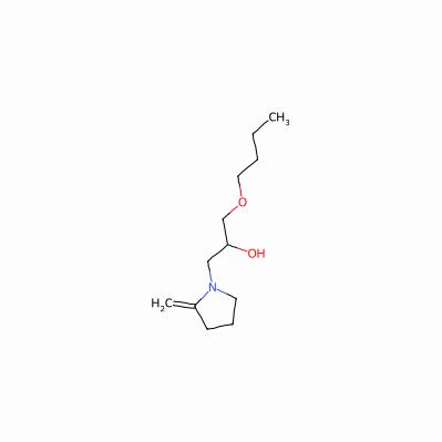 C=C1CCCN1CC(O)COCCCC